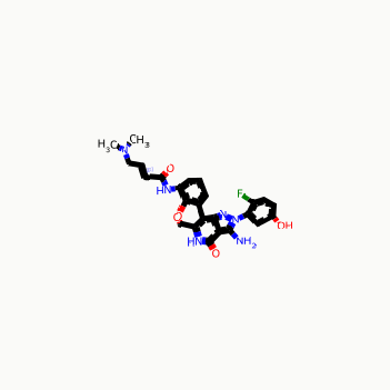 CN(C)C/C=C/C(=O)Nc1cccc2c1OCc1[nH]c(=O)c3c(N)n(-c4cc(O)ccc4F)nc3c1-2